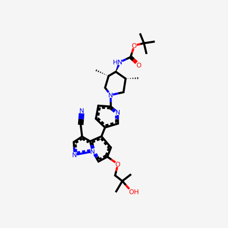 C[C@@H]1CN(c2ccc(-c3cc(OCC(C)(C)O)cn4ncc(C#N)c34)cn2)C[C@H](C)[C@H]1NC(=O)OC(C)(C)C